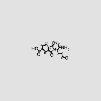 NC(=O)C(CCC=O)N1C(=O)c2ccc(C(=O)O)cc2C1=O